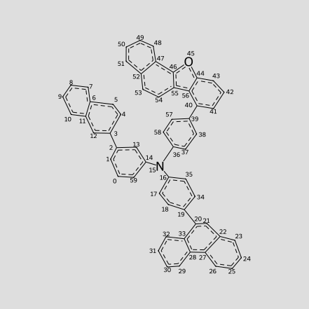 c1cc(-c2ccc3ccccc3c2)cc(N(c2ccc(-c3cc4ccccc4c4ccccc34)cc2)c2ccc(-c3cccc4oc5c6ccccc6ccc5c34)cc2)c1